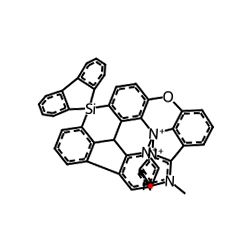 Cn1c2[n+](c3ccncc31)[N+]13c4c(cccc4-2)Oc2ccc4c(c21)C1c2c(cccc2[Si]42c4ccccc4-c4ccccc42)-c2ccc[n+]3c21